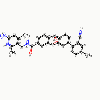 Cc1ccc(-c2ccc3c(c2)c2oc3c3ccc(C(=O)NCc4c(C)cc(N)nc4C)cc32)c(C#N)c1